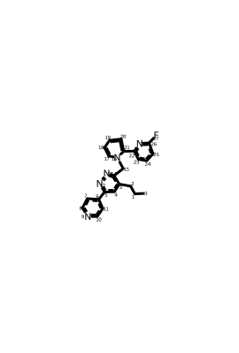 CCCc1cc(-c2ccncc2)nnc1CN1C=CC=C=C1c1cccc(F)n1